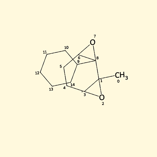 CC12O[C]1CCC1OC12C1CCCCC1